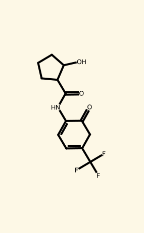 O=C1CC(C(F)(F)F)=CC=C1NC(=O)C1CCCC1O